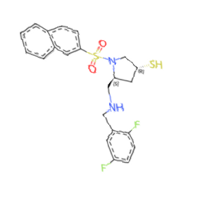 O=S(=O)(c1ccc2ccccc2c1)N1C[C@H](S)C[C@H]1CNCc1cc(F)ccc1F